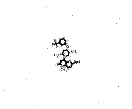 C[C@@H]1CN(c2cc(=O)n(C)c3ccc(C#N)nc23)[C@H](C)C[C@@H]1Oc1cccc(C(F)(F)F)c1